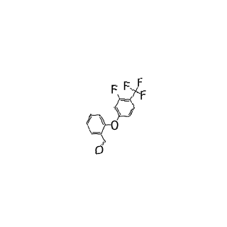 O=Cc1ccccc1Oc1ccc(C(F)(F)F)c(F)c1